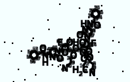 C=CCOP(=O)(OCCC#N)O[C@H]1[C@@H](F)[C@H](n2ccc(NC(=O)c3ccccc3)nc2=O)O[C@@H]1COC(OCCC#N)[C@H]1O[C@@H](n2ccc(NC(=O)c3ccccc3)nc2=O)[C@H](F)[C@@H]1O